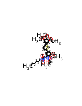 CCCCCCN(O)C(=O)Nc1cc(C2CCC(c3cc(OC)c(OC)c(OC)c3)S2)cc(OC)c1OCCC